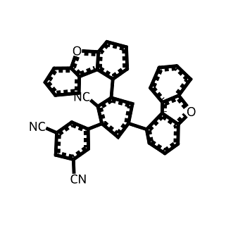 N#Cc1cc(C#N)cc(-c2cc(-c3cccc4oc5ccccc5c34)cc(-c3cccc4oc5ccccc5c34)c2C#N)c1